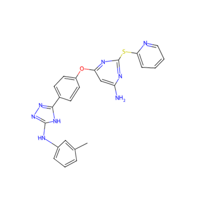 Cc1cccc(Nc2nnc(-c3ccc(Oc4cc(N)nc(Sc5ccccn5)n4)cc3)[nH]2)c1